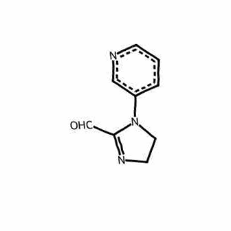 O=CC1=NCCN1c1cccnc1